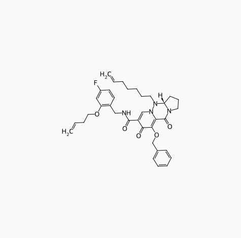 C=CCCCCCN1[C@@H]2CCCN2C(=O)c2c(OCc3ccccc3)c(=O)c(C(=O)NCc3ccc(F)cc3OCCC=C)cn21